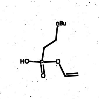 C=COP(=O)(O)CCCCCC